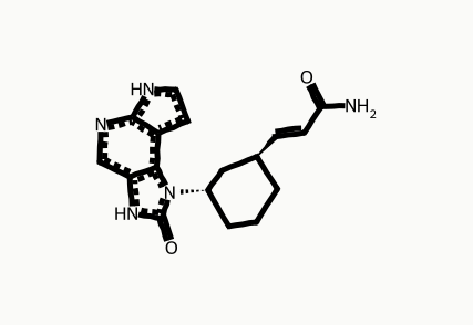 NC(=O)/C=C/[C@H]1CCC[C@H](n2c(=O)[nH]c3cnc4[nH]ccc4c32)C1